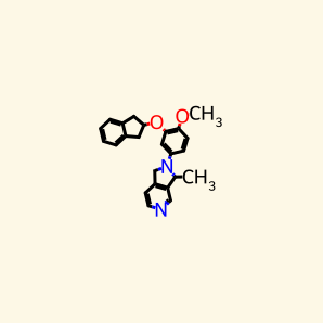 COc1ccc(N2Cc3ccncc3C2C)cc1OC1Cc2ccccc2C1